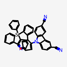 N#Cc1ccc2c(c1)c1cc(C#N)ccc1n2-c1ccccc1-c1ccccc1[Si](c1ccccc1)(c1ccccc1)c1ccccc1C#N